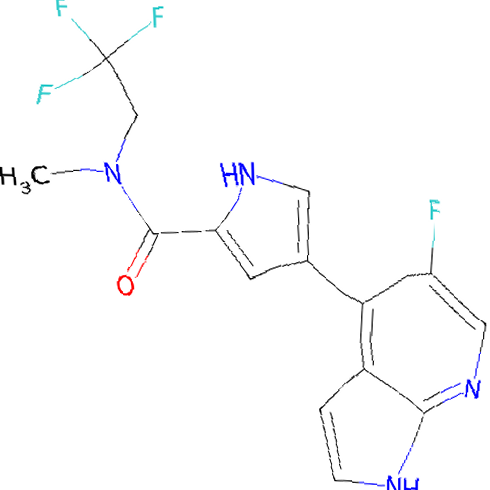 CN(CC(F)(F)F)C(=O)c1cc(-c2c(F)cnc3[nH]ccc23)c[nH]1